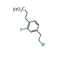 CCOC(=O)CCc1ccc(CCBr)cc1F